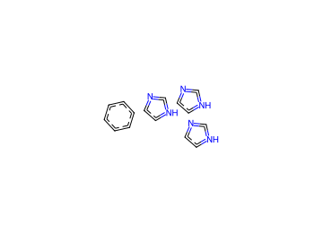 c1c[nH]cn1.c1c[nH]cn1.c1c[nH]cn1.c1ccccc1